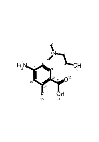 CN(C)CCO.Nc1ccc(C(=O)O)c(F)c1